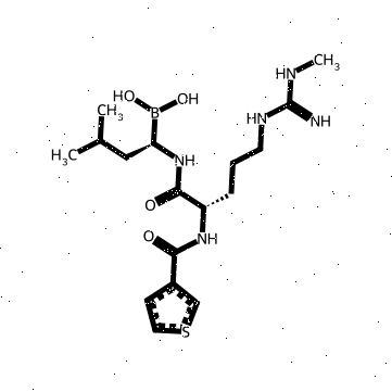 CNC(=N)NCCC[C@H](NC(=O)c1ccsc1)C(=O)N[C@@H](CC(C)C)B(O)O